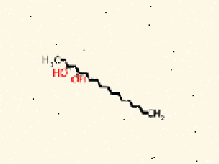 C=CCCCCCCCCCCC[C@H](O)C[C@H](O)CC